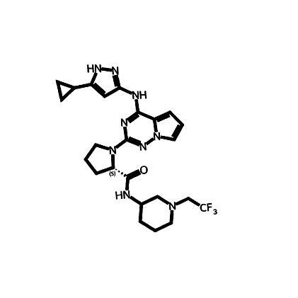 O=C(NC1CCCN(CC(F)(F)F)C1)[C@@H]1CCCN1c1nc(Nc2cc(C3CC3)[nH]n2)c2cccn2n1